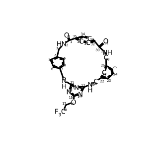 O=C1NCc2ccc(cc2)Nc2nc(nc(OCC(F)(F)F)n2)NCc2cccc(c2)CNC(=O)c2ccc1cc2